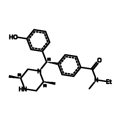 CCN(C)C(=O)c1ccc([C@@H](c2cccc(O)c2)N2C[C@H](C)NC[C@@H]2C)cc1